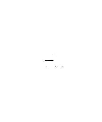 [CaH2].[KH].[MgH2].[NaH].[SiH3][Fe]